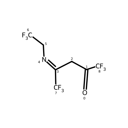 O=C(CC(=NCC(F)(F)F)C(F)(F)F)C(F)(F)F